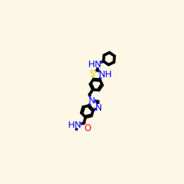 CNC(=O)c1ccc2c(c1)ncn2Cc1ccc2c(c1)SC(NC1CCCCC1)N2